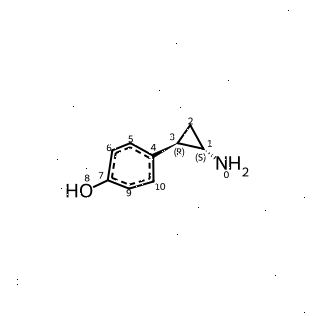 N[C@H]1C[C@@H]1c1ccc(O)cc1